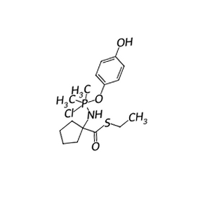 CCSC(=O)C1(NP(C)(C)(Cl)Oc2ccc(O)cc2)CCCC1